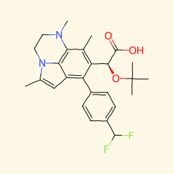 Cc1c([C@H](OC(C)(C)C)C(=O)O)c(-c2ccc(C(F)F)cc2)c2cc(C)n3c2c1N(C)CC3